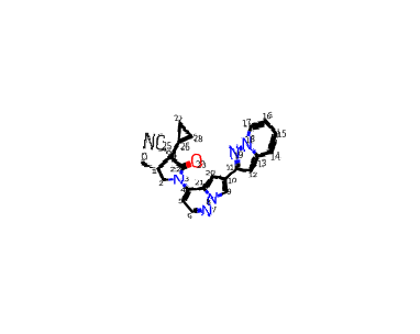 C[C@@H]1CN(c2ccnn3cc(-c4cc5ccccn5n4)cc23)C(=O)[C@]1(C#N)C1CC1